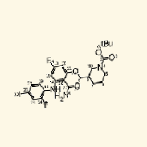 CC(C)(C)OC(=O)N1CCCC(COc2cc(F)cc(Nc3ccc(I)cc3F)c2C(N)=O)C1